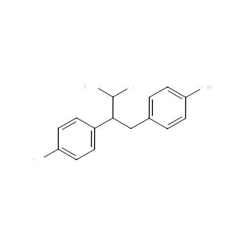 Oc1ccc(CC(c2ccc(O)cc2)C(O)C(F)(F)F)cc1